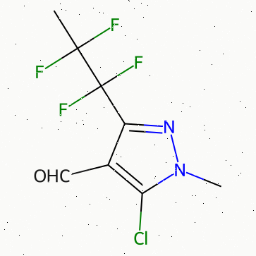 Cn1nc(C(F)(F)C(C)(F)F)c(C=O)c1Cl